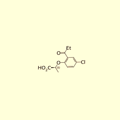 CCC(=O)c1cc(Cl)ccc1O[C@@H](C)C(=O)O